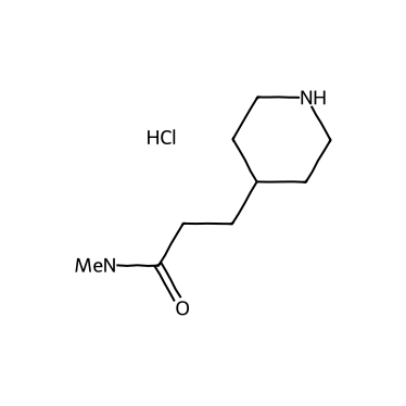 CNC(=O)CCC1CCNCC1.Cl